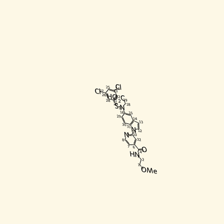 COCCNC(=O)c1ccnc(-n2ccc3cc(N(CC(=O)O)Sc4cc(Cl)cc(Cl)c4)ccc32)c1